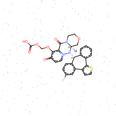 O=C(O)OCOc1c2n(ccc1=O)N([C@H]1c3ccc(F)cc3-c3ccsc3-c3ccccc31)[C@@H]1COCCN1C2=O